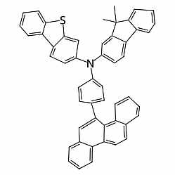 CC1(C)c2ccccc2-c2ccc(N(c3ccc(-c4cc5ccccc5c5ccc6ccccc6c45)cc3)c3ccc4c(c3)sc3ccccc34)cc21